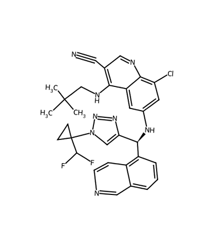 CC(C)(C)CNc1c(C#N)cnc2c(Cl)cc(N[C@H](c3cn(C4(C(F)F)CC4)nn3)c3cccc4cnccc34)cc12